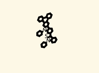 c1ccc(-n2c3ccccc3c3c4ccc5c6cc7c8ccccc8c8ccccc8c7cc6n(-c6ccccc6)c5c4sc32)cc1